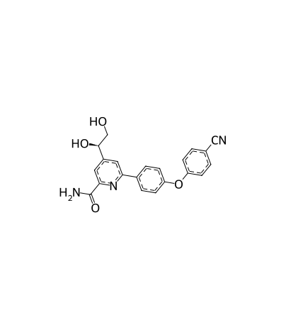 N#Cc1ccc(Oc2ccc(-c3cc([C@@H](O)CO)cc(C(N)=O)n3)cc2)cc1